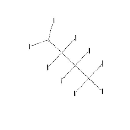 I[C](I)C(I)(I)C(I)(I)C(I)(I)I